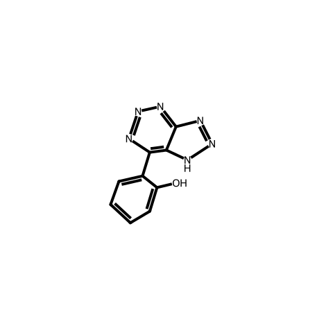 Oc1ccccc1-c1nnnc2nn[nH]c12